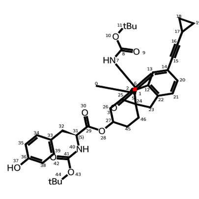 CN1C(=O)C2(N=C1NC(=O)OC(C)(C)C)c1cc(C#CC3CC3)ccc1CC21CCC(OC(=O)[C@H](Cc2ccc(O)cc2)NC(=O)OC(C)(C)C)CC1